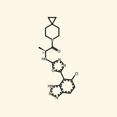 C[C@H](Nc1nnc(-c2c(Cl)ccc3nn[nH]c23)o1)C(=O)N1CCC2(CC1)CC2